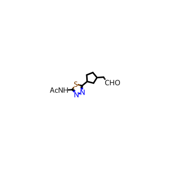 CC(=O)Nc1nnc(C2CCC(CC=O)C2)s1